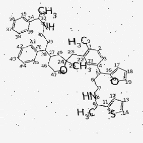 Cc1ccc(C(CCNC(C)c2cccs2)c2ccco2)cc1CC1(C)CC(C(CCNC(C)c2ccccc2)c2ccccc2)CCO1